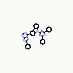 c1ccc(-c2nc(-c3ccccc3)nc(-n3c4ccccc4c4cc(-c5ncnc6nc(-c7ccccc7)nn56)ccc43)n2)cc1